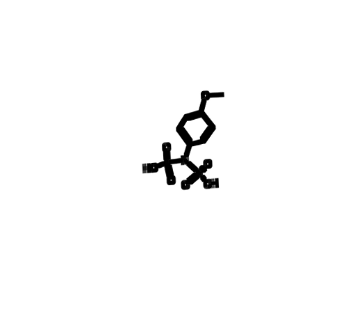 COc1ccc(N(S(=O)(=O)O)S(=O)(=O)O)cc1